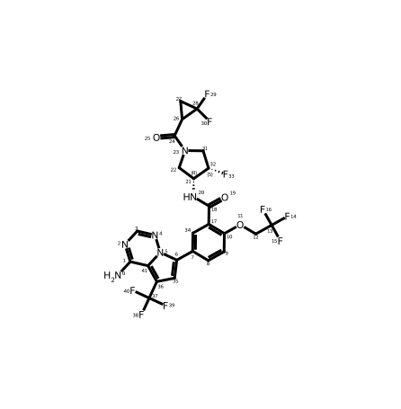 Nc1ncnn2c(-c3ccc(OCC(F)(F)F)c(C(=O)N[C@@H]4CN(C(=O)C5CC5(F)F)C[C@@H]4F)c3)cc(C(F)(F)F)c12